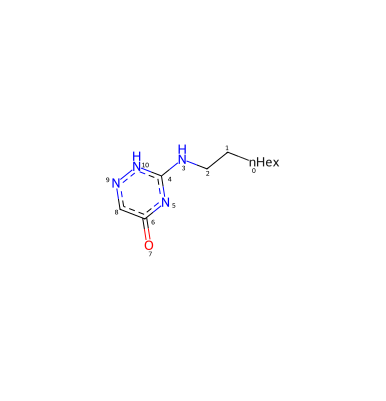 CCCCCCCCNc1nc(=O)cn[nH]1